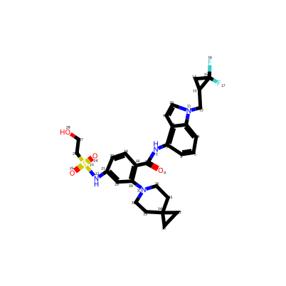 O=C(Nc1cccc2c1ccn2CC1CC1(F)F)c1ccc(NS(=O)(=O)CCO)cc1N1CCC2(CC1)CC2